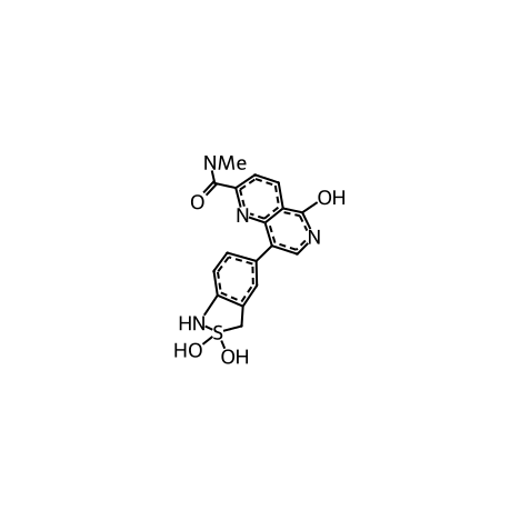 CNC(=O)c1ccc2c(O)ncc(-c3ccc4c(c3)CS(O)(O)N4)c2n1